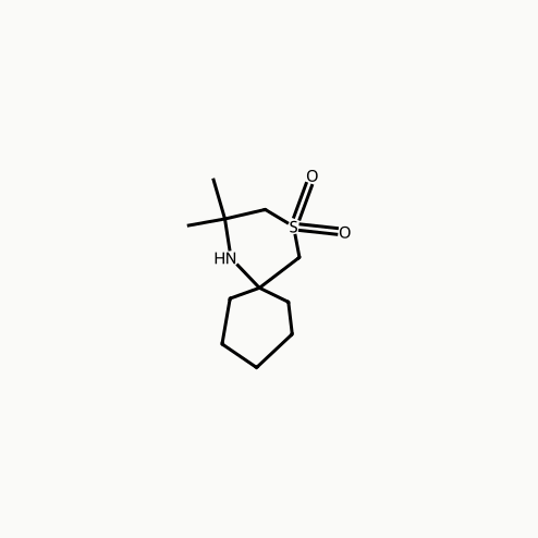 CC1(C)CS(=O)(=O)CC2(CCCCC2)N1